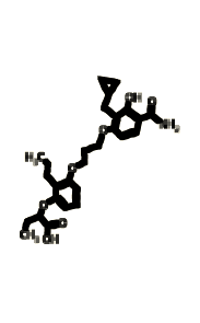 CCCc1c(OCCCOc2ccc(C(N)=O)c(O)c2CC2CC2)cccc1OC(CC)C(=O)O